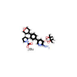 CC(C)(C)OC(=O)N1CCC[C@H]1c1cc(-c2cnc(N)c(B3OC(C)(C)C(C)(C)O3)c2)ccc1C1CCOCC1